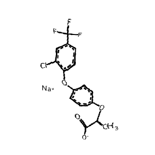 CC(Oc1ccc(Oc2ccc(C(F)(F)F)cc2Cl)cc1)C(=O)[O-].[Na+]